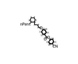 CCCCCC1CCCCC1CCCOc1ccc(C(=O)Oc2ccc(C#N)cc2)cc1